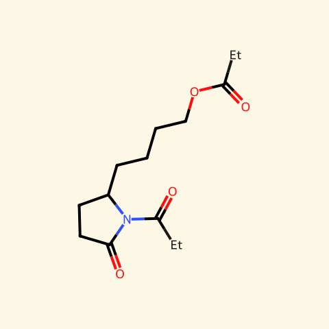 CCC(=O)OCCCCC1CCC(=O)N1C(=O)CC